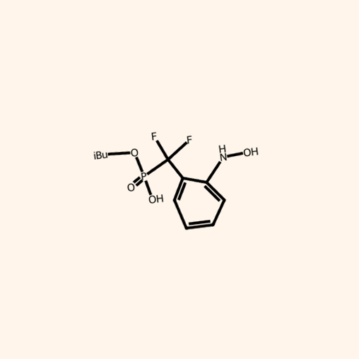 CCC(C)OP(=O)(O)C(F)(F)c1ccccc1NO